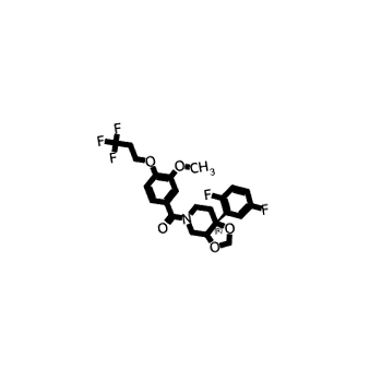 COc1cc(C(=O)N2CC[C@]3(c4cc(F)ccc4F)OCOC3C2)ccc1OCCC(F)(F)F